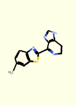 Cc1ccc2nc(C3=NCCc4[nH]cnc43)sc2c1